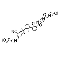 Cc1c(-c2nc3cc(CN4CC[C@@H](C(=O)O)C4)cc(C#N)c3o2)cccc1-c1cccc(-c2nc3c(o2)CN(C(=O)CN2CC[C@@H](O)C2)C3)c1Cl